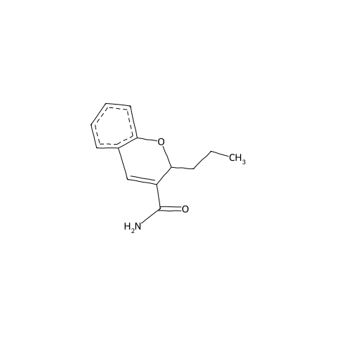 CCCC1Oc2ccccc2C=C1C(N)=O